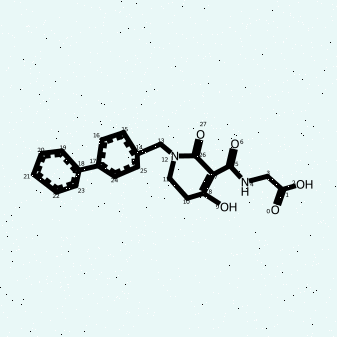 O=C(O)CNC(=O)C1=C(O)CCN(Cc2ccc(-c3ccccc3)cc2)C1=O